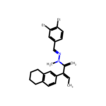 C=C(/C(=C/C)c1ccc2c(c1)CCCC2)N(C)/N=C/c1ccc(CC)c(CC)c1